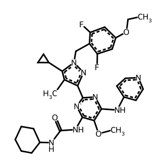 CCOc1cc(F)c(Cn2nc(-c3nc(NC(=O)NC4CCCCC4)c(OC)c(Nc4ccncc4)n3)c(C)c2C2CC2)c(F)c1